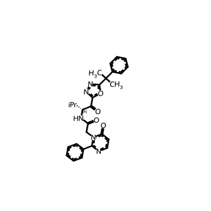 CC(C)[C@@H](NC(=O)Cn1c(-c2ccccc2)nccc1=O)C(=O)c1nnc(C(C)(C)c2ccccc2)o1